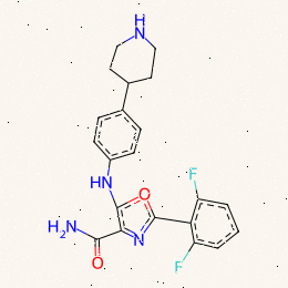 NC(=O)c1nc(-c2c(F)cccc2F)oc1Nc1ccc(C2CCNCC2)cc1